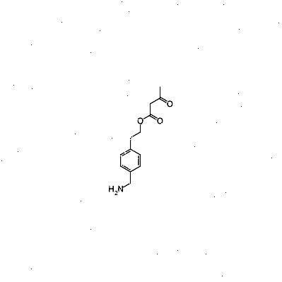 CC(=O)CC(=O)OCCc1ccc(CN)cc1